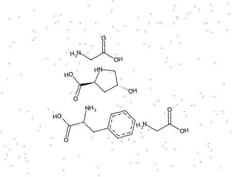 NC(Cc1ccccc1)C(=O)O.NCC(=O)O.NCC(=O)O.O=C(O)[C@@H]1C[C@@H](O)CN1